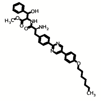 CCCCCCCOc1ccc(-c2cnc(-c3ccc(C[C@H](N)C(=O)NC(C(=O)OC)C(O)c4ccccc4)cc3)nc2)cc1